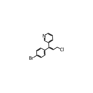 ClC/C=C(/c1ccc(Br)cc1)c1cccnc1